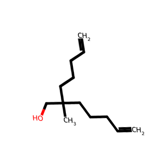 C=CCCCC(C)(CO)CCCC=C